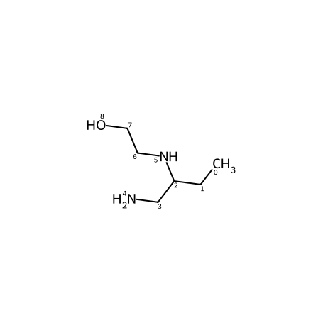 CCC(CN)NCCO